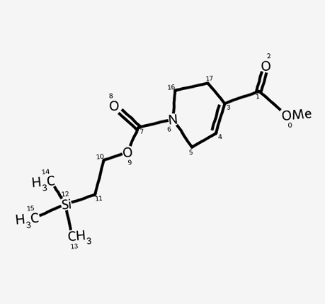 COC(=O)C1=CCN(C(=O)OCC[Si](C)(C)C)CC1